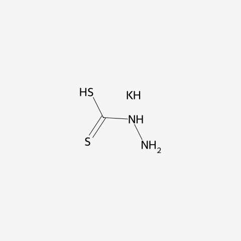 NNC(=S)S.[KH]